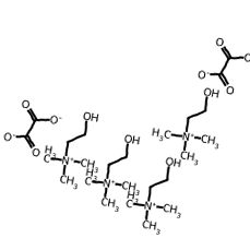 C[N+](C)(C)CCO.C[N+](C)(C)CCO.C[N+](C)(C)CCO.C[N+](C)(C)CCO.O=C([O-])C(=O)[O-].O=C([O-])C(=O)[O-]